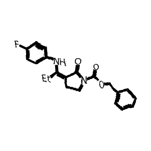 CC/C(Nc1ccc(F)cc1)=C1\CCN(C(=O)OCc2ccccc2)C1=O